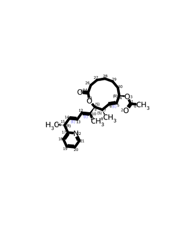 CC(=O)O[C@H]1/C=C/[C@H](C)[C@@H](/C(C)=C/C=C/[C@@H](C)c2ccccn2)OC(=O)CCCCC1